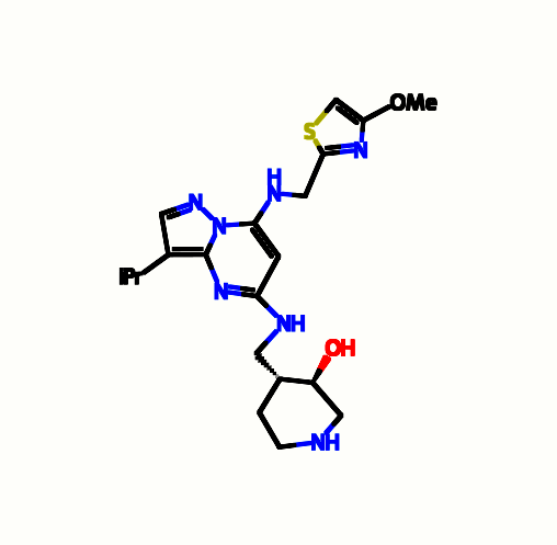 COc1csc(CNc2cc(NC[C@H]3CCNC[C@@H]3O)nc3c(C(C)C)cnn23)n1